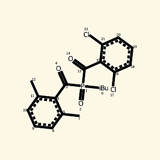 CCC(C)P(=O)(C(=O)c1c(C)cccc1C)C(=O)c1c(Cl)cccc1Cl